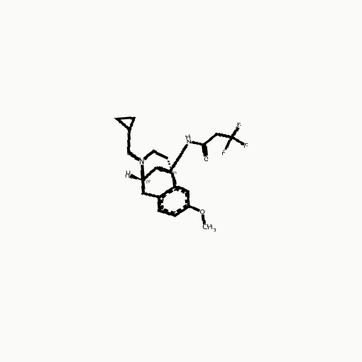 COc1ccc2c(c1)[C@@]13CCN(CC4CC4)[C@@H](C2)C1OCC(NC(=O)CC(F)(F)F)C3